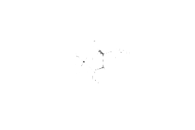 BC(O)(O)N(C#N)CC(=O)OC